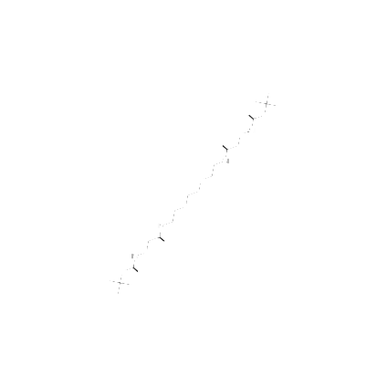 CC(C)(C)OC(=O)NOCC(=O)NCCOCCOCCNC(=O)CONC(=O)OC(C)(C)C